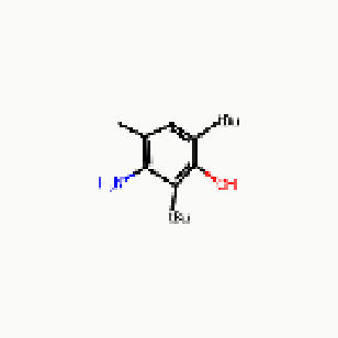 Cc1cc(C(C)(C)C)c(O)c(C(C)(C)C)c1N